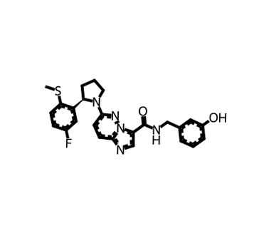 CSc1ccc(F)cc1[C@H]1CCCN1c1ccc2ncc(C(=O)NCc3cccc(O)c3)n2n1